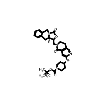 CC(C)(C)OC(=O)N1CCC(Nc2cc3c(cn2)CCN(CC2OC(=O)N4Cc5ccccc5C[C@@H]24)C3=O)CC1